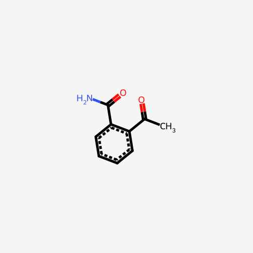 CC(=O)c1ccccc1C(N)=O